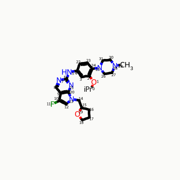 CC(C)Oc1cc(Nc2ncc3c(F)cn(CC4CCCO4)c3n2)ccc1N1CCN(C)CC1